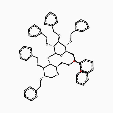 FC(OC[C@H]1OC[C@H](OCc2ccccc2)[C@@H](OCc2ccccc2)[C@@H]1OC1O[C@H](COCc2ccccc2)[C@@H](OCc2ccccc2)[C@H](OCc2ccccc2)[C@H]1OCc1ccccc1)c1ccccc1